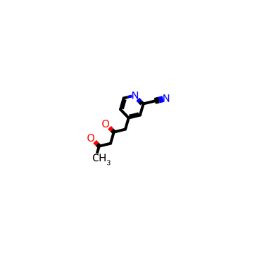 CC(=O)CC(=O)Cc1ccnc(C#N)c1